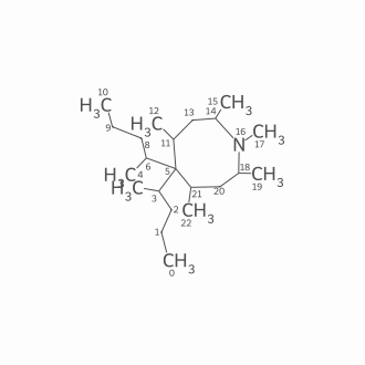 CCCC(C)C1(C(C)CCC)C(C)CC(C)N(C)C(C)CC1C